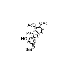 CC(=O)Oc1ccc(C[C@](NC(C)C)(OC(=O)OC(C)(C)C)C(=O)O)cc1OC(C)=O